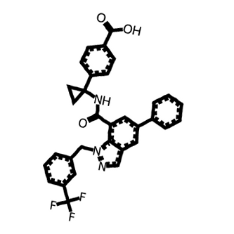 O=C(O)c1ccc(C2(NC(=O)c3cc(-c4ccccc4)cc4cnn(Cc5cccc(C(F)(F)F)c5)c34)CC2)cc1